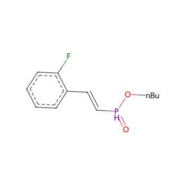 CCCCO[PH](=O)C=Cc1ccccc1F